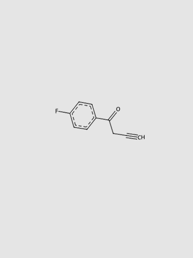 C#CCC(=O)c1ccc(F)cc1